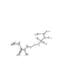 CCCOC(=O)C(SCCCC(F)(F)C(F)C(F)F)C(C)C